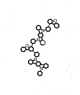 C1=Cc2c(c3cc4c(cc3n2-c2cccc(-c3cc(-c5cccc(-n6c7ccccc7c7cc8c(cc76)c6ccccc6n8-c6ccccc6)c5)cc5c3oc3ccccc35)c2)c2ccccc2n4-c2cccc(-c3cccc4oc5ccccc5c34)c2)CC1